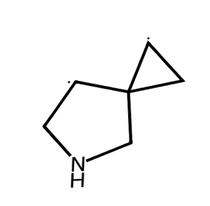 [CH]1CNCC12[CH]C2